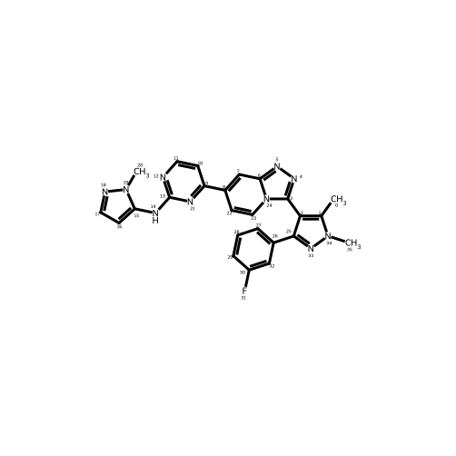 Cc1c(-c2nnc3cc(-c4ccnc(Nc5ccnn5C)n4)ccn23)c(-c2cccc(F)c2)nn1C